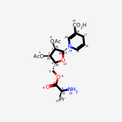 CC(=O)O[C@@H]1[C@H](OC(C)=O)[C@@H](COC(=O)[C@@H](N)C(C)C)O[C@H]1N1C=CCC(C(=O)O)=C1